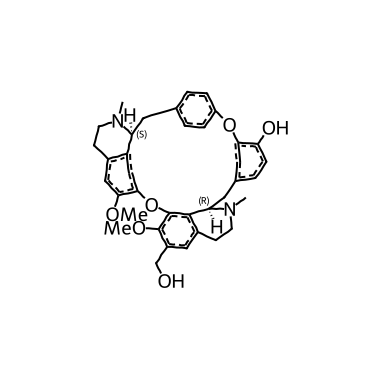 COc1cc2c3cc1Oc1c(OC)c(CO)cc4c1[C@@H](Cc1ccc(O)c(c1)Oc1ccc(cc1)C[C@@H]3N(C)CC2)N(C)CC4